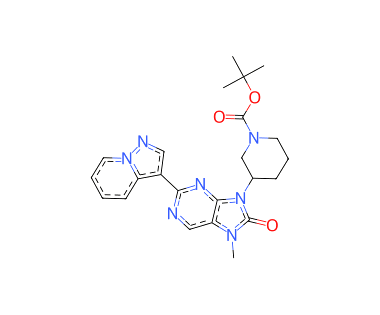 Cn1c(=O)n(C2CCCN(C(=O)OC(C)(C)C)C2)c2nc(-c3cnn4ccccc34)ncc21